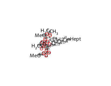 C=C(C)C(=O)OCCCc1cc(-c2ccc(C3CCC(CCCCCCC)CC3)cc2CC)ccc1OCC(COC(=O)C(=C)C)(COC(=O)C(=O)OCCOC)COC(=O)C(=O)OCCOC